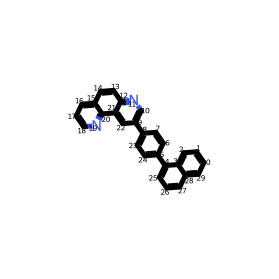 c1ccc2c(-c3ccc(-c4cnc5ccc6cccnc6c5c4)cc3)cccc2c1